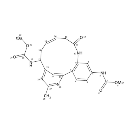 COC(=O)Nc1ccc2c(c1)NC(=O)CC=CCC(NC(=O)OC(C)(C)C)c1cc-2nc(C)n1